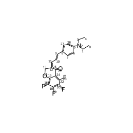 CCN(CC)c1ccc(C=CC=C2COc3c(F)c(F)c(F)c(F)c3C2=O)cc1